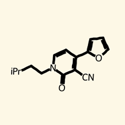 CC(C)CCn1ccc(-c2ccco2)c(C#N)c1=O